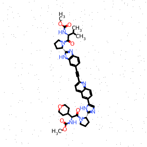 COC(=O)N[C@H](C(=O)N1CCC[C@H]1c1nc2ccc(C#Cc3ccc4cc(-c5cnc([C@@H]6CCCN6C(=O)[C@@H](NC(=O)OC)C6CCOCC6)[nH]5)ccc4n3)cc2[nH]1)C(C)C